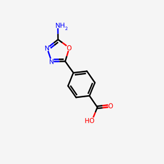 Nc1nnc(-c2ccc(C(=O)O)cc2)o1